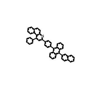 c1ccc(-c2cc(-c3ccc(-c4c5ccccc5c(-c5ccc6ccccc6c5)c5ccccc45)cc3)nc3ccc4ccccc4c23)cc1